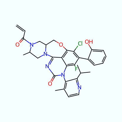 C=CC(=O)N1CC2COc3c(Cl)c(-c4ccccc4O)c(F)c4c3c(nc(=O)n4-c3c(C)ccnc3C(C)C)N2CC1C